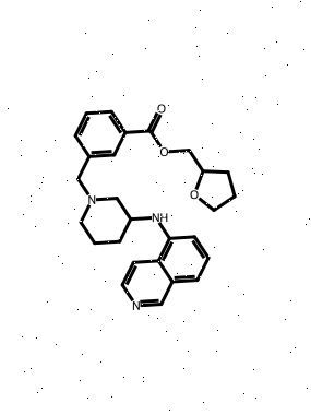 O=C(OCC1CCCO1)c1cccc(CN2CCCC(Nc3cccc4cnccc34)C2)c1